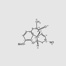 COc1ccc2c3c1O[C@H]1C[C@@H](N=O)C=C[C@@]31CC(=O)N(C)C2